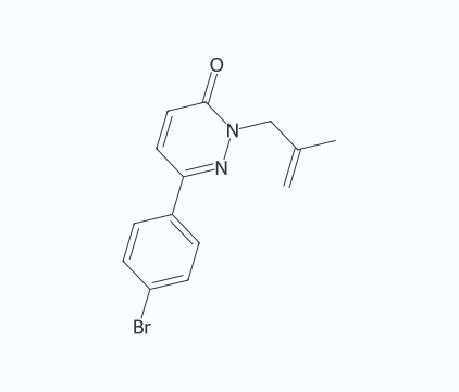 C=C(C)Cn1nc(-c2ccc(Br)cc2)ccc1=O